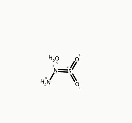 NN=S(=O)=O.O